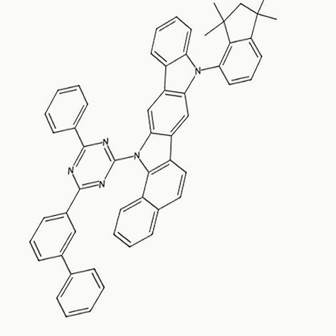 CC1(C)CC(C)(C)c2c(-n3c4ccccc4c4cc5c(cc43)c3ccc4ccccc4c3n5-c3nc(-c4ccccc4)nc(-c4cccc(-c5ccccc5)c4)n3)cccc21